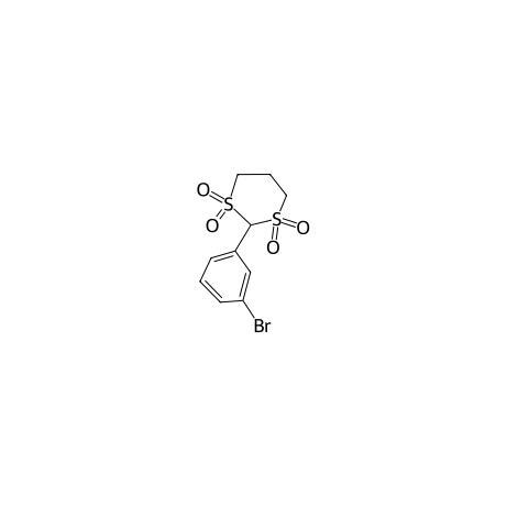 O=S1(=O)CCCS(=O)(=O)C1c1cccc(Br)c1